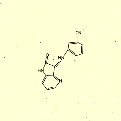 N#Cc1cccc(N/C=C2\C(=O)Nc3cccnc32)c1